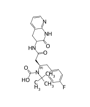 CC(C)(C)N(C(=O)O)[C@@H](CC(=O)NC1Cc2cccnc2NC1=O)Cc1ccc(F)cc1